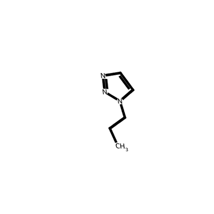 CCCn1ccnn1